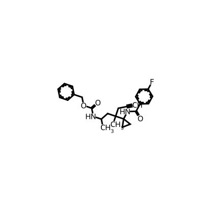 C#CCC(C)(CC(C)NC(=O)OCc1ccccc1)C1(NC(=O)c2ccc(F)cc2)CC1